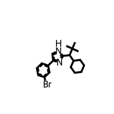 CC(C)(C)C(c1nc(-c2cccc(Br)c2)c[nH]1)C1CCCCC1